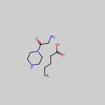 CCCCC(=O)O.NCC(=O)N1CCNCC1